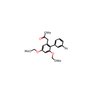 COCOc1cc(CC(=O)OC)c(-c2cccc(C(C)=O)c2)c(OCOC)c1